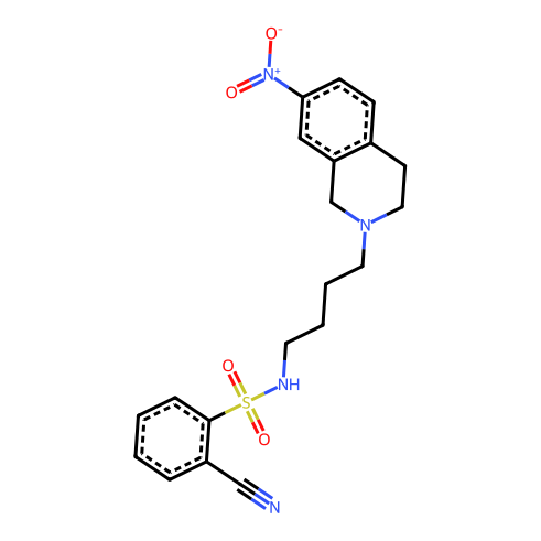 N#Cc1ccccc1S(=O)(=O)NCCCCN1CCc2ccc([N+](=O)[O-])cc2C1